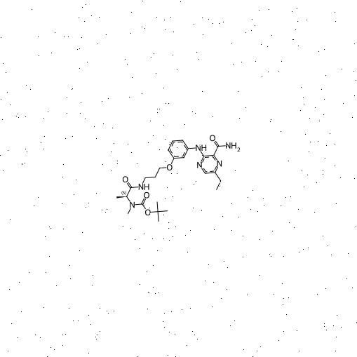 CCc1cnc(Nc2cccc(OCCCNC(=O)[C@H](C)N(C)C(=O)OC(C)(C)C)c2)c(C(N)=O)n1